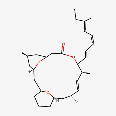 CC/C(C)=C/C=C\C=C\C1OC(=O)CC2C[C@H](C)C[C@H](CC3CCC[C@H](C[C@@H](C)/C=C/[C@@H]1C)O3)O2